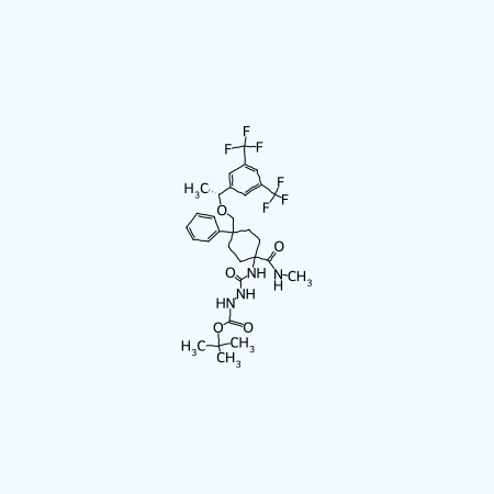 CNC(=O)C1(NC(=O)NNC(=O)OC(C)(C)C)CCC(CO[C@H](C)c2cc(C(F)(F)F)cc(C(F)(F)F)c2)(c2ccccc2)CC1